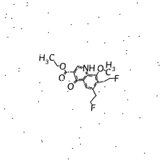 CCOC(=O)c1c[nH]c2c(OC)c(CCF)c(CCF)cc2c1=O